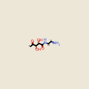 CC(=O)[C@H](O)[C@@H](O)C(=O)NCCN